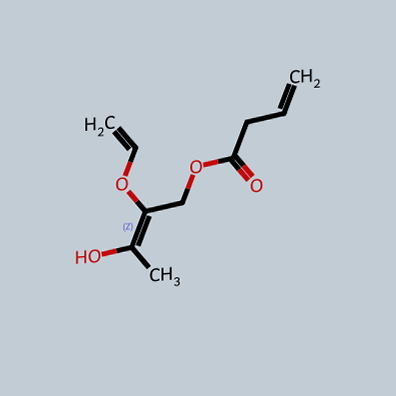 C=CCC(=O)OC/C(OC=C)=C(\C)O